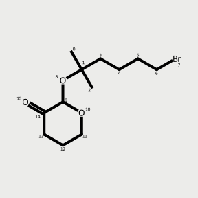 CC(C)(CCCCBr)OC1OCCCC1=O